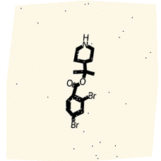 CC(C)(OC(=O)c1ccc(Br)cc1Br)C1CCNCC1